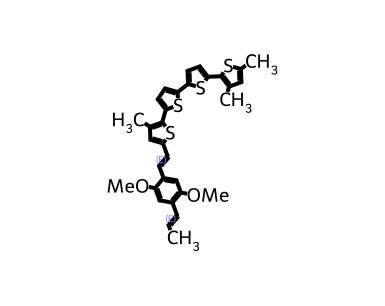 C/C=C/c1cc(OC)c(/C=C/c2cc(C)c(-c3ccc(-c4ccc(-c5sc(C)cc5C)s4)s3)s2)cc1OC